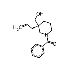 C=CC[C@@]1(CO)CCCN(C(=O)c2ccccc2)C1